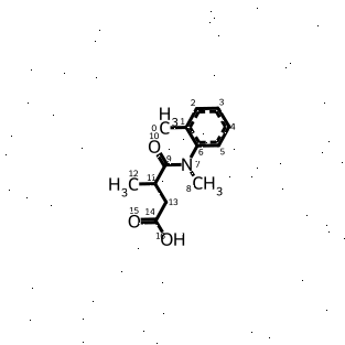 Cc1ccccc1N(C)C(=O)C(C)CC(=O)O